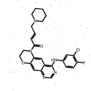 O=C(/C=C/CN1CCCCC1)N1CCOc2cc3ncnc(Nc4ccc(F)c(Cl)c4)c3cc21